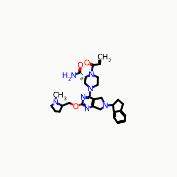 C=CC(=O)N1CCN(c2nc(OCC3CCCN3C)nc3c2CN(C2CCc4ccccc42)C3)C[C@@H]1C(N)=O